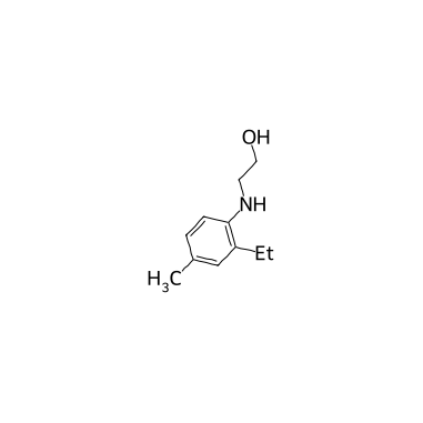 CCc1cc(C)ccc1NCCO